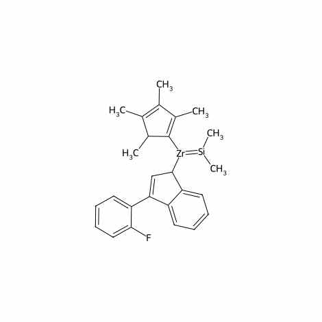 CC1=C(C)C(C)[C]([Zr]([CH]2C=C(c3ccccc3F)c3ccccc32)=[Si](C)C)=C1C